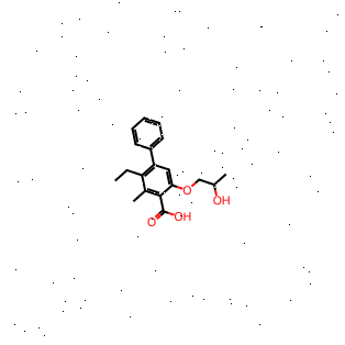 CCc1c(-c2ccccc2)cc(OCC(C)O)c(C(=O)O)c1C